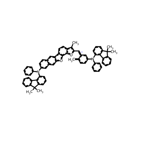 C=c1ccc(N(c2ccccc2)c2cccc3c2-c2ccccc2C3(C)C)c/c1=C/c1oc2c(ccc3c4cc5ccc(N(c6ccccc6)c6cccc7c6-c6ccccc6C7(C)C)cc5cc4oc32)c1C